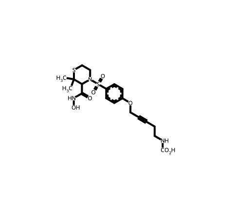 CC1(C)SCCN(S(=O)(=O)c2ccc(OCC#CCCNC(=O)O)cc2)C1C(=O)NO